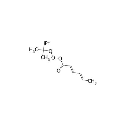 CC=CC=CC(=O)OOOC(C)(C)C(C)C